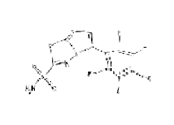 NS(=O)(=O)c1nn2c(-c3c(F)c(F)c(F)c(F)c3F)cnc2s1